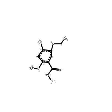 CCSc1cc(C(=O)NC)c(OC)cc1N